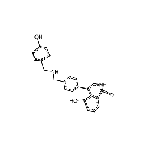 O=c1[nH]cc(-c2ccc(CNCc3ccc(O)cc3)cc2)c2c(O)cccc12